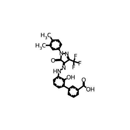 Cc1ccc(N2N=C(C(F)(F)F)C(=NNc3cccc(-c4cccc(C(=O)O)c4)c3O)C2=O)cc1C